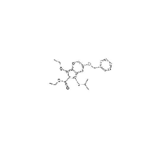 CCOC(=O)c1c(SC(C)C)c2cc(OCc3ccccc3)ccc2n1OCC